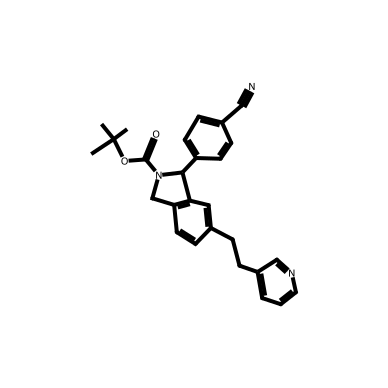 CC(C)(C)OC(=O)N1Cc2ccc(CCc3cccnc3)cc2C1c1ccc(C#N)cc1